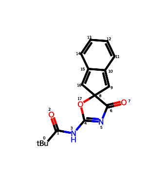 CC(C)(C)C(=O)NC1=NC(=O)C2(C=c3ccccc3=C2)O1